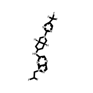 FC(F)Cn1ncc2ncc(NC3C[C@@H]4CN(c5ncc(C(F)(F)F)cn5)C[C@@H]4C3)nc21